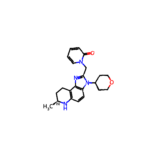 C[C@H]1CCc2c(ccc3c2nc(Cn2ccccc2=O)n3C2CCOCC2)N1